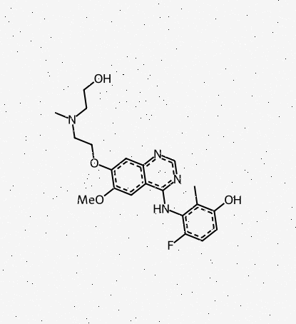 COc1cc2c(Nc3c(F)ccc(O)c3C)ncnc2cc1OCCN(C)CCO